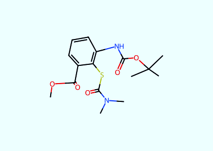 COC(=O)c1cccc(NC(=O)OC(C)(C)C)c1SC(=O)N(C)C